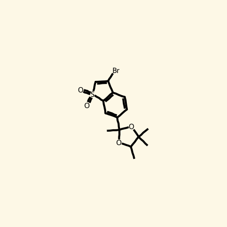 CC1OC(C)(c2ccc3c(c2)S(=O)(=O)C=C3Br)OC1(C)C